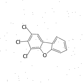 Clc1cc2c(oc3ccccc32)c(Cl)c1Cl